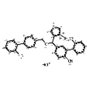 Cc1ccccc1-c1cc(C(OCc2ccc(-c3ccccc3C#N)cc2)c2cncn2C)ccc1C#N.Cl